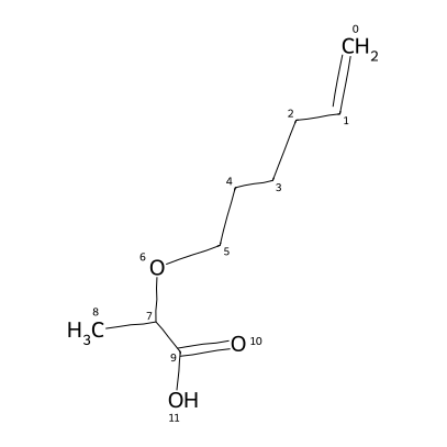 C=CCCCCOC(C)C(=O)O